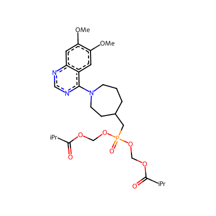 COc1cc2ncnc(N3CCCC(CP(=O)(OCOC(=O)C(C)C)OCOC(=O)C(C)C)CC3)c2cc1OC